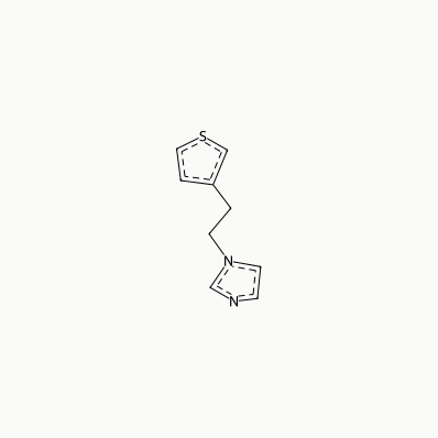 c1cn(CCc2ccsc2)cn1